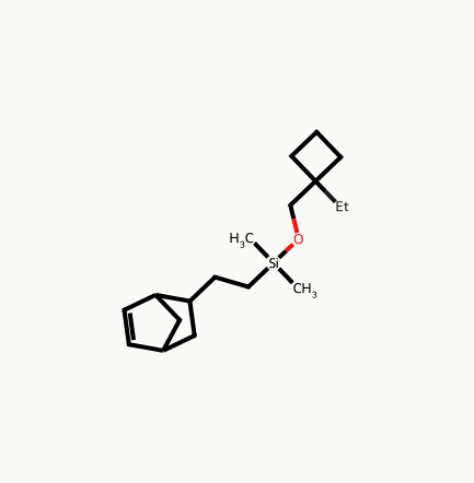 CCC1(CO[Si](C)(C)CCC2CC3C=CC2C3)CCC1